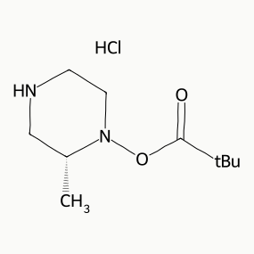 C[C@@H]1CNCCN1OC(=O)C(C)(C)C.Cl